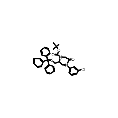 CC(C)(C)OC(=O)N1CC(=O)N(c2cccc(Cl)c2)CC1CSC(c1ccccc1)(c1ccccc1)c1ccccc1